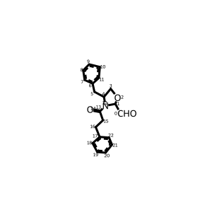 O=CC1OCC(Cc2ccccc2)N1C(=O)CCc1ccccc1